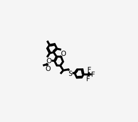 CC(=O)OC1=C(c2c(C)cc(C)cc2C)C(=O)CC(C(C)CSc2ccc(C(F)(F)F)cc2)C1